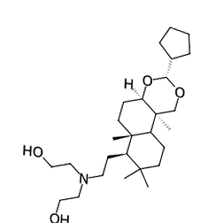 CC1(C)CCC2[C@]3(C)CO[C@@H](C4CCCC4)O[C@@H]3CC[C@@]2(C)[C@@H]1CCN(CCO)CCO